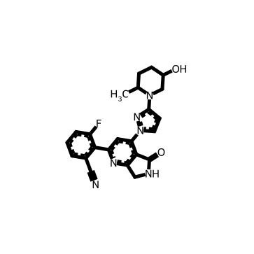 CC1CCC(O)CN1c1ccn(-c2cc(-c3c(F)cccc3C#N)nc3c2C(=O)NC3)n1